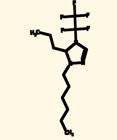 CCCCCCN1N=CN(C(F)(F)C(F)(F)F)C1CCC